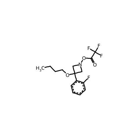 CCCCOC1(c2ccccc2F)CN(OC(=O)C(F)(F)F)C1